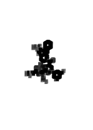 CN1N=C2CCN(C(=O)C(COc3cncc(F)c3)NC(=O)C(C)(C)OC(N)=O)C[C@@]2(Cc2ccccc2)C1=O